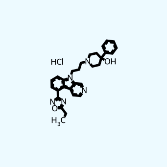 CCc1nc(-c2cccc3c2c2ccncc2n3CCCN2CCC(O)(c3ccccc3)CC2)no1.Cl